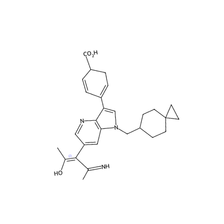 CC(=N)/C(=C(/C)O)c1cnc2c(C3=CCC(C(=O)O)C=C3)cn(CC3CCC4(CC3)CC4)c2c1